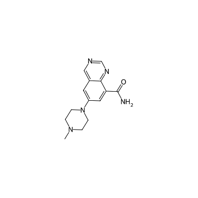 CN1CCN(c2cc(C(N)=O)c3ncncc3c2)CC1